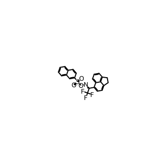 O=S(=O)(ON=C(c1ccc2c3c(cccc13)CC2)C(F)(F)F)c1ccc2ccccc2c1